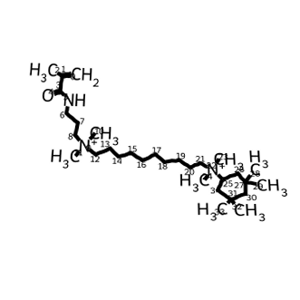 C=C(C)C(=O)NCCC[N+](C)(C)CCCCCCCCCC[N+](C)(C)C1CC(C)(C)CC(C)(C)C1